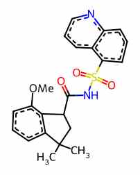 COc1cccc2c1C(C(=O)NS(=O)(=O)c1cccc3ncccc13)CC2(C)C